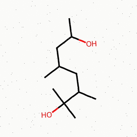 CC(O)CC(C)CC(C)C(C)(C)O